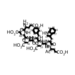 CC(=O)[C@H](CCC(=O)O)NC(=O)[C@H](Cc1c[nH]c2ccccc12)NC(=O)[C@H](CCC(=O)O)NC(=O)[C@H](Cc1ccccc1)NC(=O)[C@H](CCC(=O)O)NC(=O)[C@H](CCC(=O)O)NC(=O)[C@@H](N)CCC(=O)O